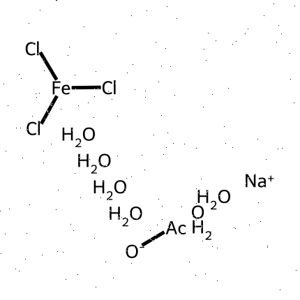 CC(=O)[O-].O.O.O.O.O.O.[Cl][Fe]([Cl])[Cl].[Na+]